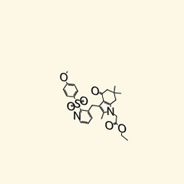 CCOC(=O)Cn1c(C)c(Cc2cccnc2S(=O)(=O)c2ccc(OC)cc2)c2c1CC(C)(C)CC2=O